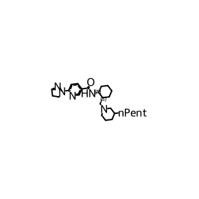 CCCCCC1CCCN(C[C@@H]2CCCC[C@H]2NC(=O)c2ccc(N3CCC=N3)nc2)C1